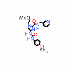 COCCn1cc(NC(=O)Nc2ccc(OC(F)(F)F)cc2)nc1C(=O)NCc1cccnc1